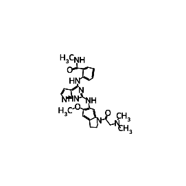 CNC(=O)c1ccccc1Nc1nc(Nc2cc3c(cc2OC)CCN3C(=O)CN(C)C)[nH]c2nccc1-2